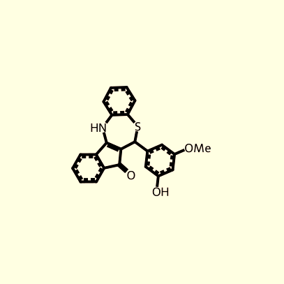 COc1cc(O)cc(C2Sc3ccccc3NC3=C2C(=O)c2ccccc23)c1